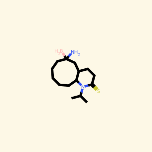 BC1(N)CCCCCC2C(CCC(=S)N2C(C)C)C1